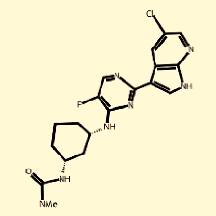 CNC(=O)N[C@@H]1CCC[C@H](Nc2nc(-c3c[nH]c4ncc(Cl)cc34)ncc2F)C1